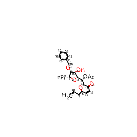 [CH2][CH]C[C@H]1O[C@@H]([C@H](OC(C)=O)[C@H]2OC(CC=C)C=CC2=O)[C@H](O)[C@H]1OCc1ccccc1